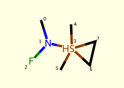 CN(F)[SH]1(C)(C)CC1